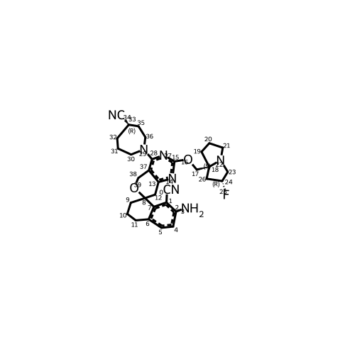 N#Cc1c(N)ccc2c1C1(CCC2)Cc2nc(OC[C@@]34CCCN3C[C@H](F)C4)nc(N3CCC[C@@H](C#N)CC3)c2CO1